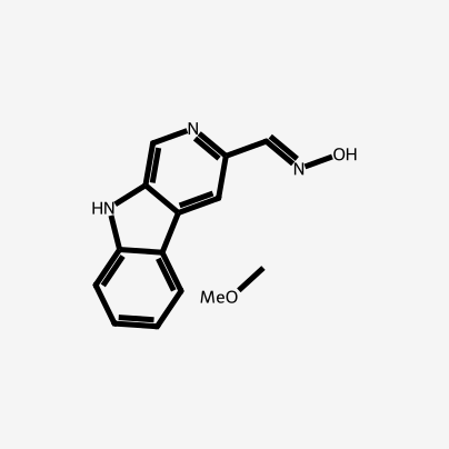 COC.ON=Cc1cc2c(cn1)[nH]c1ccccc12